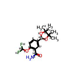 CC1(C)OB(c2ccc(OC(F)F)c(C(N)=O)c2)OC1(C)C